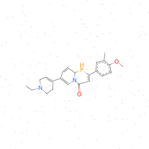 CCN1CC=C(C2=CN3C(=O)C=C(c4ccc(OC)c(C)c4)PC3C=C2)CC1